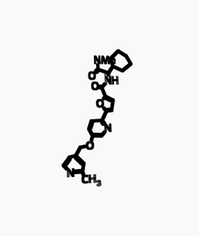 CNC(=O)[C@@H](NC(=O)c1ccc(-c2ccc(OCc3ccnc(C)c3)cn2)o1)C1CCCCC1